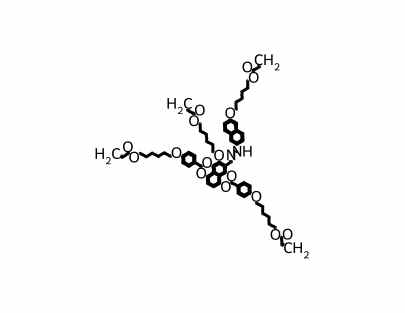 C=CC(=O)OCCCCCCOc1ccc(C(=O)Oc2c(/C=N/Nc3ccc4cc(OCCCCCCOC(=O)C=C)ccc4c3)c(OCCCCCCOC(=O)C=C)c(OC(=O)c3ccc(OCCCCCCOC(=O)C=C)cc3)c3ccccc23)cc1